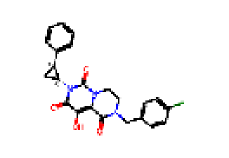 O=C1c2c(O)c(=O)n([C@@H]3C[C@H]3c3ccccc3)c(=O)n2CCN1Cc1ccc(F)cc1